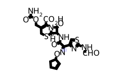 NC(=O)OCC1=C(C(=O)O)N2C(=O)C(NC(=O)/C(=N\OC3C=CCC3)c3csc(NC=O)n3)[C@H]2SC1